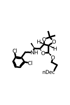 CCCCCCCCCCCCO[C@H]1O[C@H]([C@H](C)NCc2c(Cl)cccc2Cl)[C@@H]2OC(C)(C)O[C@H]12